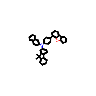 CC1(C)c2ccccc2-c2ccc(N(c3ccc(-c4cccc5c4oc4ccccc45)cc3)c3ccc4ccccc4c3)cc21